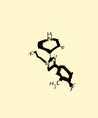 Cc1cc(-c2cn(CCO)c([C@@H]3CCNC[C@@H]3F)n2)ccc1F